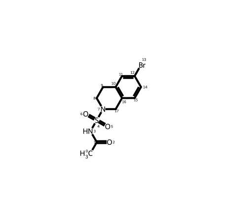 CC(=O)NS(=O)(=O)N1CCc2cc(Br)ccc2C1